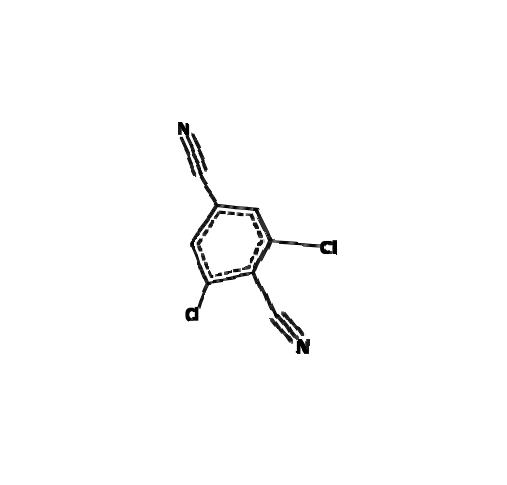 N#Cc1cc(Cl)c(C#N)c(Cl)c1